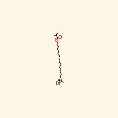 C=C(C)C(=O)OCCCCCCCCCCCCCCCCC[Si](C)(C)Br